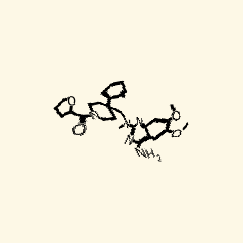 COc1cc2nc(N(C)CC3(c4ccccc4)CCN(C(=O)C4CCCO4)CC3)nc(N)c2cc1OC